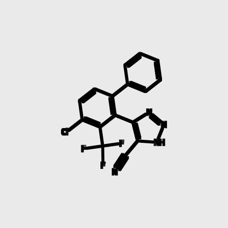 N#Cc1[nH]nnc1-c1c(-c2ccccc2)ccc(Cl)c1C(F)(F)F